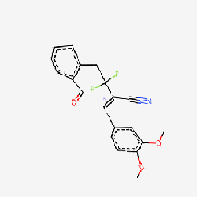 COc1ccc(/C=C(\C#N)C(F)(F)Cc2ccccc2C=O)cc1OC